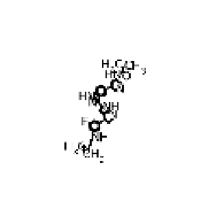 CC(C)C(=O)Nc1cncc(-c2ccc3[nH]nc(-c4cc5c(-c6cc(F)cc(NCCN(C)C)c6)ccnc5[nH]4)c3c2)c1